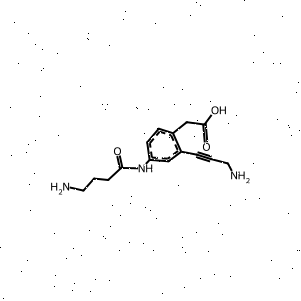 NCC#Cc1cc(NC(=O)CCCN)ccc1CC(=O)O